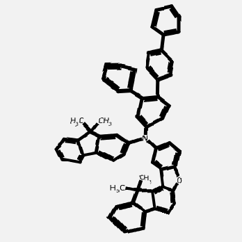 CC1(C)c2ccccc2-c2ccc(N(c3ccc(-c4ccc(-c5ccccc5)cc4)c(-c4ccccc4)c3)c3ccc4oc5ccc6c(c5c4c3)C(C)(C)c3ccccc3-6)cc21